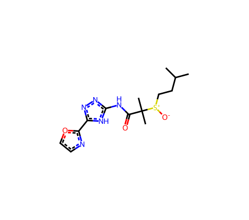 CC(C)CC[S+]([O-])C(C)(C)C(=O)Nc1nnc(-c2ncco2)[nH]1